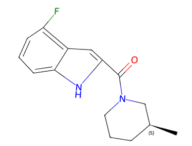 C[C@H]1CCCN(C(=O)c2cc3c(F)cccc3[nH]2)C1